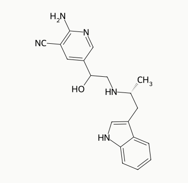 C[C@H](Cc1c[nH]c2ccccc12)NCC(O)c1cnc(N)c(C#N)c1